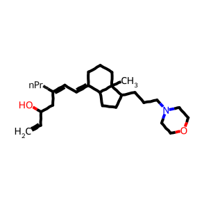 C=CC(O)C/C(=C\C=C1/CCCC2(C)C(CCCN3CCOCC3)CCC12)CCC